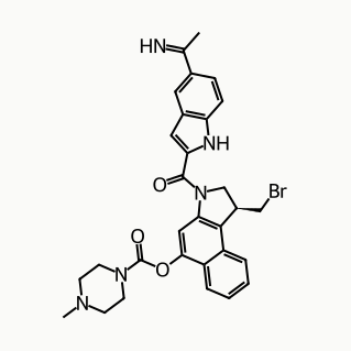 CC(=N)c1ccc2[nH]c(C(=O)N3C[C@@H](CBr)c4c3cc(OC(=O)N3CCN(C)CC3)c3ccccc43)cc2c1